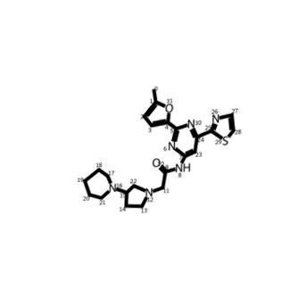 Cc1ccc(-c2nc(NC(=O)CN3CCC(N4CCCCC4)C3)cc(-c3nccs3)n2)o1